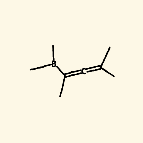 CB(C)C(C)=C=C(C)C